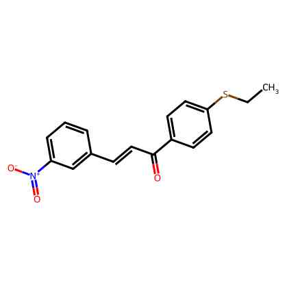 CCSc1ccc(C(=O)/C=C/c2cccc([N+](=O)[O-])c2)cc1